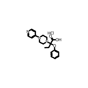 CCC(Oc1ccccc1)(C(=O)O)N1CCN(c2ccncc2)CC1.Cl